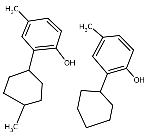 Cc1ccc(O)c(C2CCC(C)CC2)c1.Cc1ccc(O)c(C2CCCCC2)c1